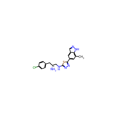 Cc1cc(-c2nnc(NC[C@H](N)Cc3ccc(Cl)cc3)s2)cc2cn[nH]c12